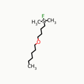 CCCCCCOCCCC[Si](C)(C)F